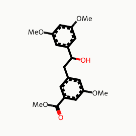 COC(=O)c1cc(CC(O)c2cc(OC)cc(OC)c2)cc(OC)c1